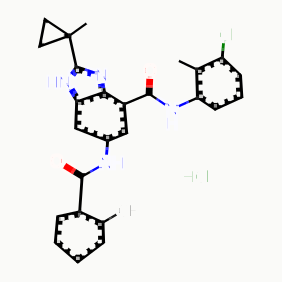 Cc1c(Cl)cccc1NC(=O)c1cc(NC(=O)c2ccccc2C(F)(F)F)cc2[nH]c(C3(C)CC3)nc12.Cl